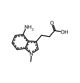 Cn1cc(CCC(=O)O)c2c(N)cccc21